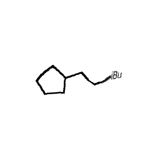 [CH2]C(CC)CCC1CCCC1